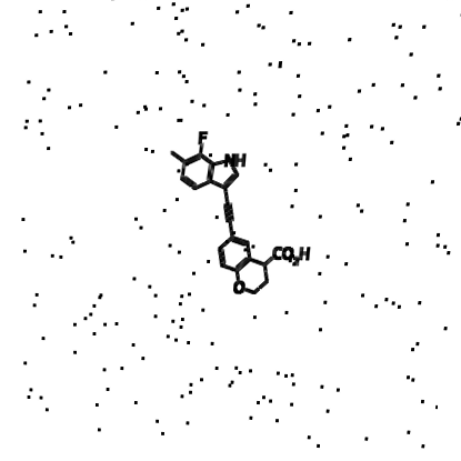 Cc1ccc2c(C#Cc3ccc4c(c3)C(C(=O)O)CCO4)c[nH]c2c1F